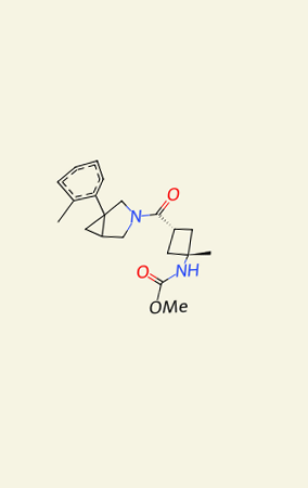 COC(=O)N[C@]1(C)C[C@H](C(=O)N2CC3CC3(c3ccccc3C)C2)C1